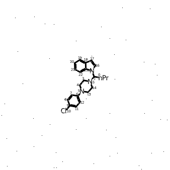 CCCC(N1CCN(c2ccc(Cl)cc2)CC1)n1ccc2ccccc21